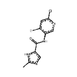 Cc1ncc(C(=O)Nc2cnc(Cl)cc2Cl)[nH]1